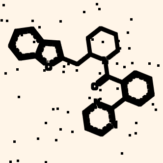 O=C(c1ccccc1-c1ncccn1)N1CCCCC1Cc1cc2ccccc2o1